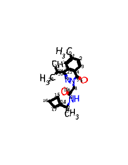 Cc1ccc2c(=O)n(CC(=O)N[C@H](C)C3CCC3)nc(C(C)C)c2c1